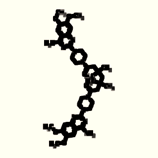 COc1cc2nc(N3CCN(C(=O)CC(C)(C)CC(C)(C)CC(=O)N4CCN(c5nc(N)c6cc(OC)c(OC)cc6n5)CC4)CC3)nc(N)c2cc1OC